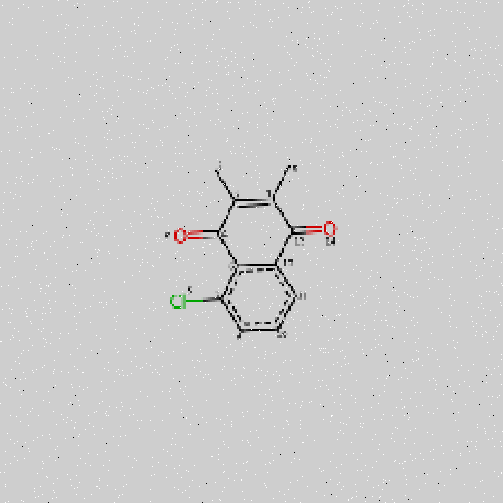 CC1=C(C)C(=O)c2c(Cl)cccc2C1=O